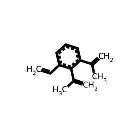 C=Cc1cccc(C(=C)C)c1C(=C)C